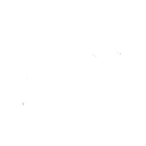 CC(C)OC(=O)c1cc2cc(N3CCNCC3)ccc2o1